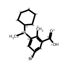 Cc1c(C(=O)O)cc(Br)cc1N(C)C1CCCCC1